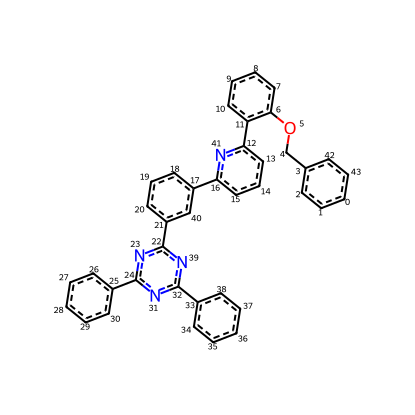 c1ccc(COc2ccccc2-c2cccc(-c3cccc(-c4nc(-c5ccccc5)nc(-c5ccccc5)n4)c3)n2)cc1